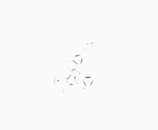 CC1(Oc2ncnc3c2nc(-c2ccc(OCCC(C)(C)C(=O)O)cc2Cl)n3Cc2cc(Cl)ccc2F)CC1